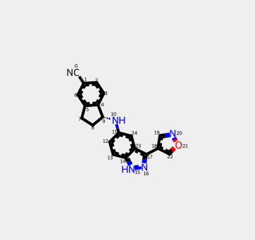 N#Cc1ccc2c(c1)CC[C@H]2Nc1ccc2[nH]nc(-c3cnoc3)c2c1